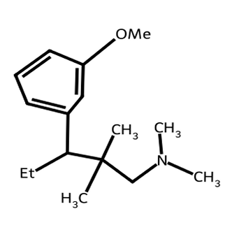 CCC(c1cccc(OC)c1)C(C)(C)CN(C)C